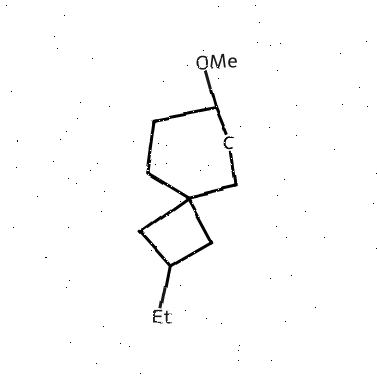 CCC1CC2(CCC(OC)CC2)C1